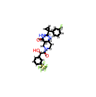 O=C(C(O)c1cccc(S(F)(F)(F)(F)F)c1)N1CCc2nc(C3(c4cccc(F)c4)CC3)[nH]c(=O)c2C1